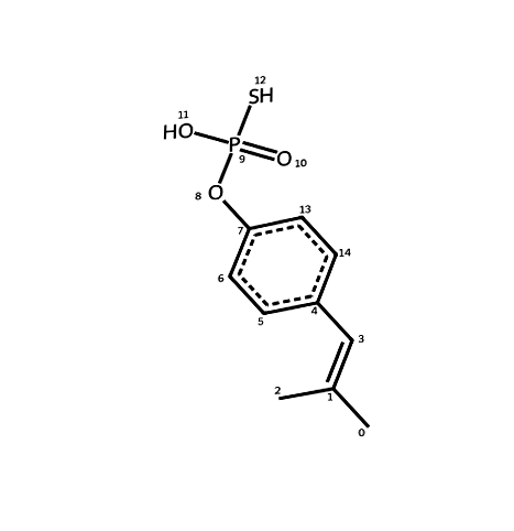 CC(C)=Cc1ccc(OP(=O)(O)S)cc1